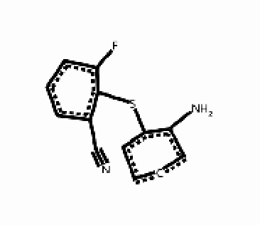 N#Cc1cccc(F)c1Sc1ccccc1N